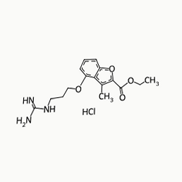 CCOC(=O)c1oc2cccc(OCCCNC(=N)N)c2c1C.Cl